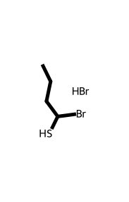 Br.CCCC(S)Br